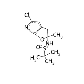 CC1(N[S+]([O-])C(C)(C)C)Cc2cc(Cl)ncc2O1